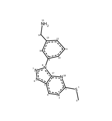 CSc1ncc2nnn(-c3cccc(CN)c3)c2n1